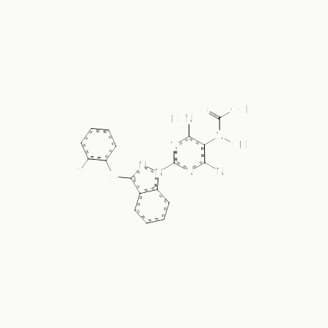 CN(C(=O)O)c1c(N)nc(-n2nc(Oc3ccccc3F)c3ccccc32)nc1N